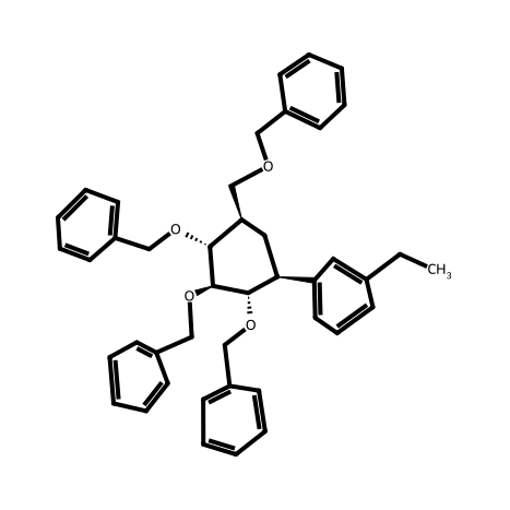 CCc1cccc([C@@H]2C[C@H](COCc3ccccc3)[C@@H](OCc3ccccc3)[C@H](OCc3ccccc3)[C@H]2OCc2ccccc2)c1